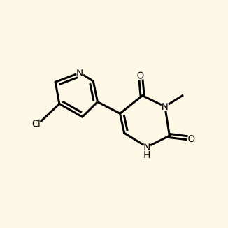 Cn1c(=O)[nH]cc(-c2cncc(Cl)c2)c1=O